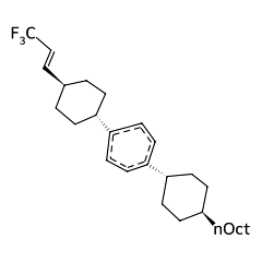 CCCCCCCC[C@H]1CC[C@H](c2ccc([C@H]3CC[C@H](C=CC(F)(F)F)CC3)cc2)CC1